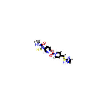 CC(C)(C)NC(=O)N(S)c1ccc(OC(=O)N2CCC(CSc3ncc[nH]3)CC2)nc1